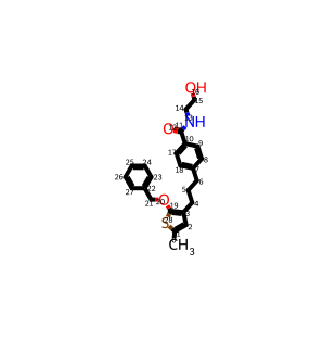 Cc1cc(CCCc2ccc(C(=O)NCCO)cc2)c(OCc2ccccc2)s1